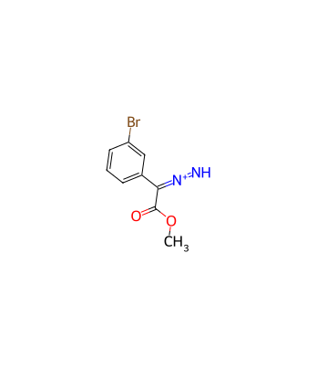 COC(=O)C(=[N+]=N)c1cccc(Br)c1